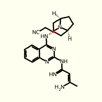 C/C(N)=C/C(=N)Nc1nc(N[C@@H]2C[C@H]3CC[C@@H](C2)N3CCC#N)c2ccccc2n1